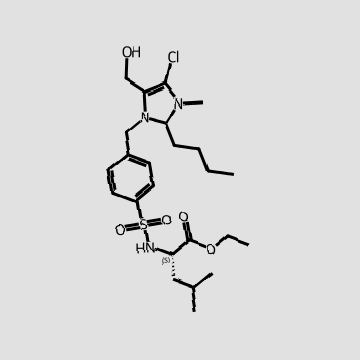 CCCCC1N(C)C(Cl)=C(CO)N1Cc1ccc(S(=O)(=O)N[C@@H](CC(C)C)C(=O)OCC)cc1